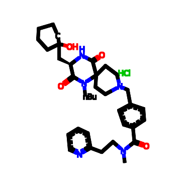 CCCCN1C(=O)[C@@H](CC2(O)CCCCC2)NC(=O)C12CCN(Cc1ccc(C(=O)N(C)CCc3ccccn3)cc1)CC2.Cl